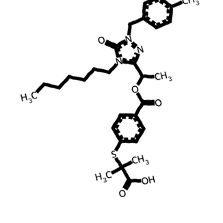 CCCCCCCn1c(C(C)OC(=O)c2ccc(SC(C)(C)C(=O)O)cc2)nn(Cc2ccc(C)cc2)c1=O